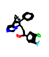 CC1=C(c2ccccc2)C(CC(=O)c2ccc(F)c(Cl)c2)n2cncc21